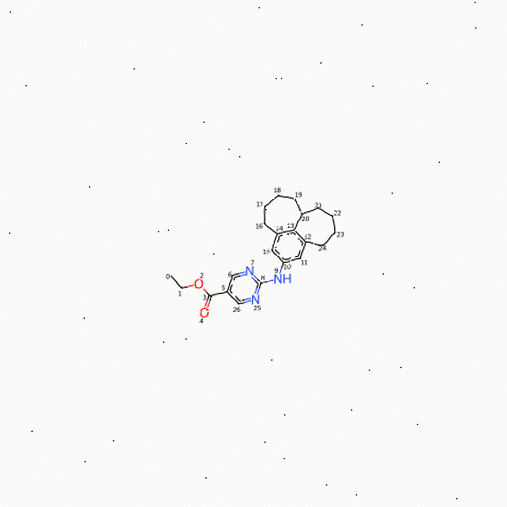 CCOC(=O)c1cnc(Nc2cc3c4c(c2)CCCCC4CCCC3)nc1